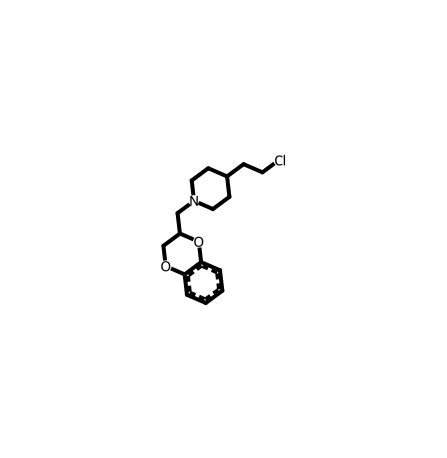 ClCCC1CCN(CC2COc3ccccc3O2)CC1